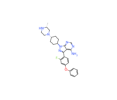 C[C@@H]1CN([C@H]2CC[C@H](n3nc(-c4ccc(Oc5ccccc5)cc4F)c4c(N)ncnc43)CC2)CCN1